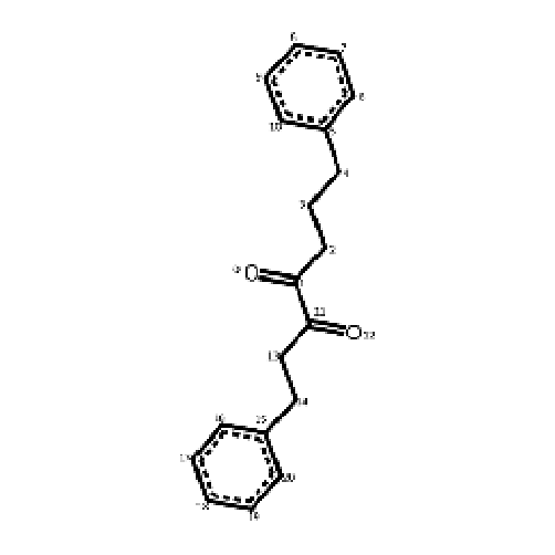 O=C(CCCc1ccccc1)C(=O)CCc1ccccc1